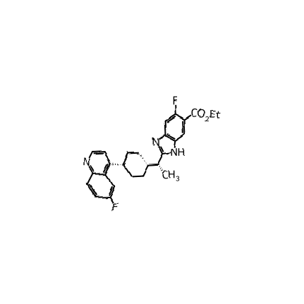 CCOC(=O)c1cc2[nH]c([C@H](C)[C@H]3CC[C@@H](c4ccnc5ccc(F)cc54)CC3)nc2cc1F